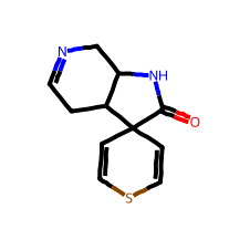 O=C1NC2CN=CCC2C12C=CSC=C2